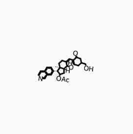 CC(=O)OC1C[C@H]2[C@@H]3OC4=C(C=C3CC[C@]2(C)[C@H]1c1ccc2ccncc2c1)C(=O)CC(CO)C4